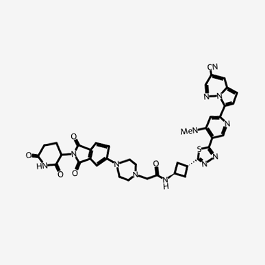 CNc1cc(-c2ccc3cc(C#N)cnn23)ncc1-c1nnc([C@H]2C[C@H](NC(=O)CN3CCN(c4ccc5c(c4)C(=O)N(C4CCC(=O)NC4=O)C5=O)CC3)C2)s1